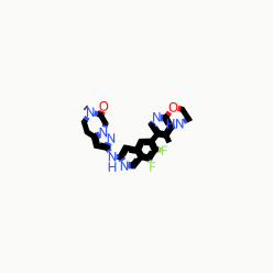 Cc1c(-c2cc3cc(Nc4cc5n(n4)CC(=O)N(C)CC5)ncc3c(F)c2F)cnc2c1NCCO2